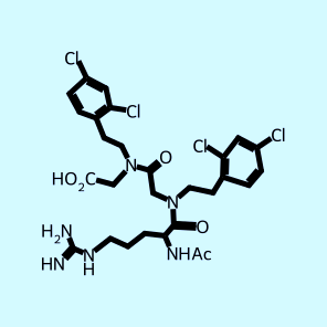 CC(=O)NC(CCCNC(=N)N)C(=O)N(CCc1ccc(Cl)cc1Cl)CC(=O)N(CCc1ccc(Cl)cc1Cl)CC(=O)O